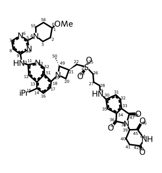 COC1CCN(c2nccc(Nc3cc4c(C(C)C)ccc(N5C[C@H](CS(=O)(=O)CCCNc6ccc7c(c6)C(=O)N(C6CCC(=O)NC6=O)C7=O)[C@H]5C)c4cn3)n2)CC1